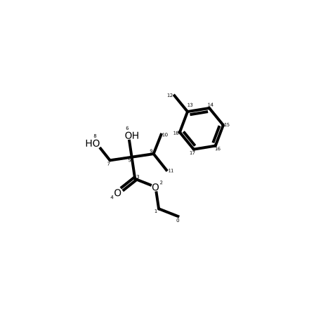 CCOC(=O)C(O)(CO)C(C)C.Cc1ccccc1